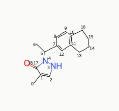 Cc1c[nH]n(C(C)c2ccc3c(c2)CCCC3)c1=O